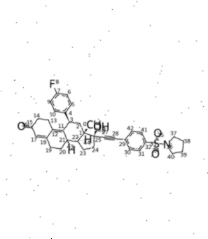 C[C@]12C[C@H](c3ccc(F)cc3)C3=C4CCC(=O)C=C4CC[C@H]3[C@@H]1CC[C@@]2(O)C#Cc1ccc(S(=O)(=O)N2CCCC2)cc1